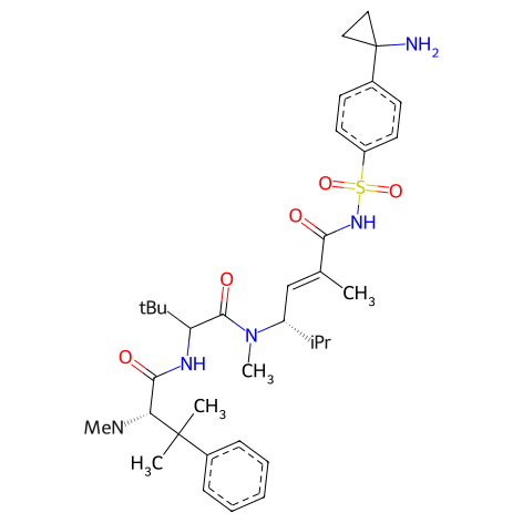 CN[C@H](C(=O)NC(C(=O)N(C)[C@H](/C=C(\C)C(=O)NS(=O)(=O)c1ccc(C2(N)CC2)cc1)C(C)C)C(C)(C)C)C(C)(C)c1ccccc1